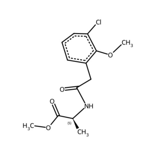 COC(=O)[C@H](C)NC(=O)Cc1cccc(Cl)c1OC